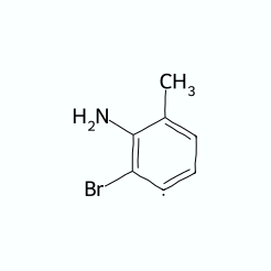 Cc1cc[c]c(Br)c1N